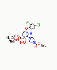 CC(C)(C)OC(=O)N1CCN(C2NC(Oc3ccc(Cl)cc3F)CCC2(CO)COO[Si](C)(C)C(C)(C)C)CC1